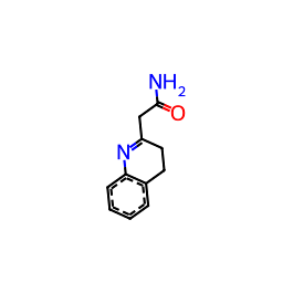 NC(=O)CC1=Nc2ccccc2CC1